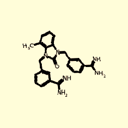 Cc1cccc2c1n(Cc1cccc(C(=N)N)c1)c(=O)n2Cc1cccc(C(=N)N)c1